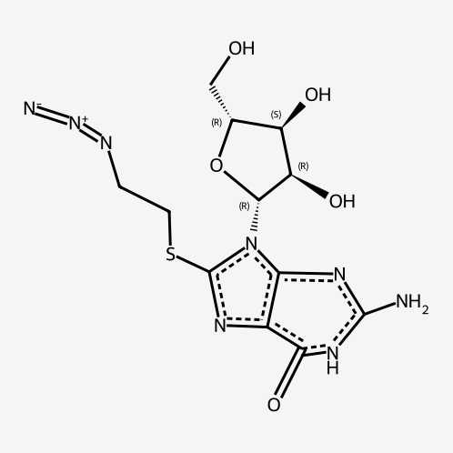 [N-]=[N+]=NCCSc1nc2c(=O)[nH]c(N)nc2n1[C@@H]1O[C@H](CO)[C@@H](O)[C@H]1O